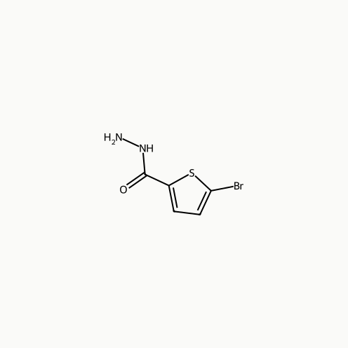 NNC(=O)c1ccc(Br)s1